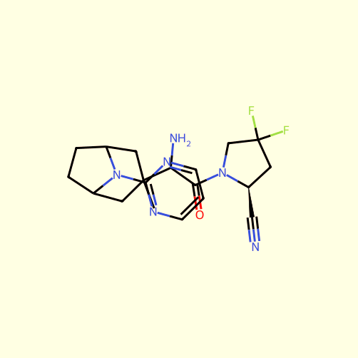 CC1(C(N)C(=O)N2CC(F)(F)C[C@H]2C#N)CC2CCC(C1)N2c1ncccn1